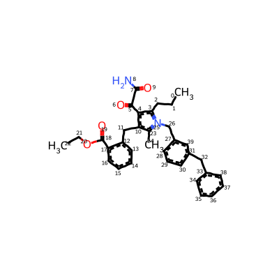 CCCc1c(C(=O)C(N)=O)c(Cc2ccccc2C(=O)OCC)c(C)n1Cc1cccc(Cc2ccccc2)c1